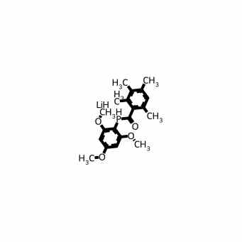 COc1cc(OC)c(PC(=O)c2c(C)cc(C)c(C)c2C)c(OC)c1.[LiH]